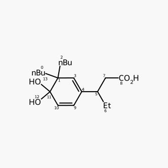 CCCCC1(CCCC)C=C(C(CC)CC(=O)O)C=CC1(O)O